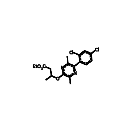 CCOC(=O)CC(C)Oc1nc(C)c(-c2ccc(Cl)cc2Cl)nc1C